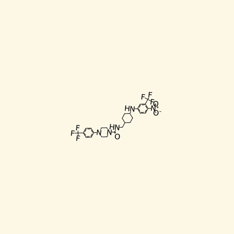 O=C(NCC1CCC(Nc2ccc([N+](=O)[O-])c(C(F)(F)F)c2)CC1)N1CCN(c2ccc(C(F)(F)F)cc2)CC1